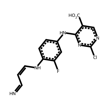 N=C/C=C\Nc1ccc(Nc2nc(Cl)ncc2C(=O)O)cc1F